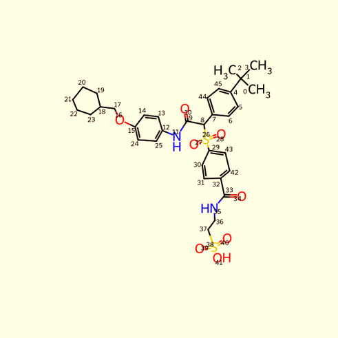 CC(C)(C)c1ccc(C(C(=O)Nc2ccc(OCC3CCCCC3)cc2)S(=O)(=O)c2ccc(C(=O)NCCS(=O)(=O)O)cc2)cc1